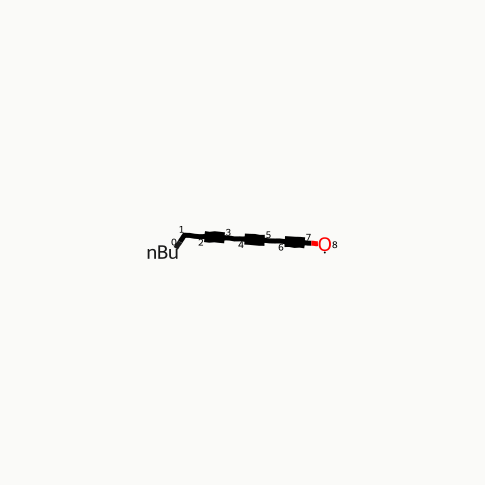 CCCCCC#CC#CC#C[O]